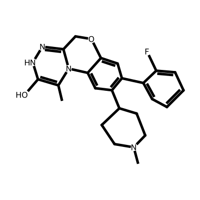 CC1=C(O)NN=C2COc3cc(-c4ccccc4F)c(C4CCN(C)CC4)cc3N21